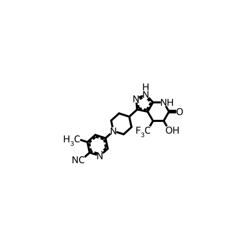 Cc1cc(N2CCC(c3n[nH]c4c3C(C(F)(F)F)C(O)C(=O)N4)CC2)cnc1C#N